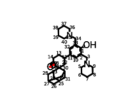 Oc1c(CN2CCCCC2)cc(C2CCC3(OOCOO3)C3(C2)C2CC4CC(C2)CC3C4)cc1CN1CCCCC1